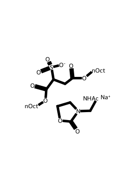 CC(=O)NCN1CCOC1=O.CCCCCCCCOC(=O)CC(C(=O)OCCCCCCCC)S(=O)(=O)[O-].[Na+]